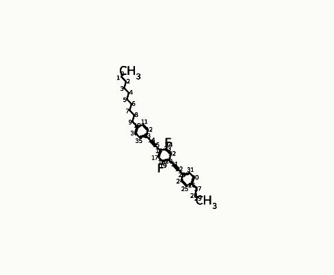 CCCCCCCCCCc1ccc(C#Cc2cc(F)c(C#Cc3ccc(CCC)cc3)cc2F)cc1